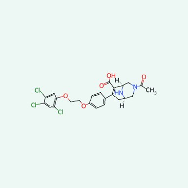 CC(=O)N1C[C@H]2CC(c3ccc(OCCOc4cc(Cl)c(Cl)cc4Cl)cc3)=C(C(=O)O)[C@@H](C1)N2